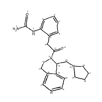 NC(=O)Nc1ccccc1CC(=O)N1CCc2ccccc2C1CN1CCCC1